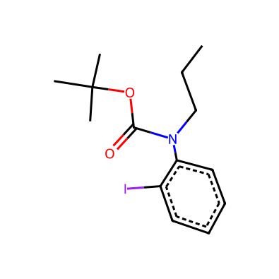 CCCN(C(=O)OC(C)(C)C)c1ccccc1I